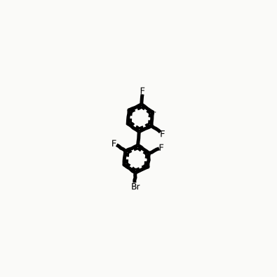 Fc1[c]c(F)c(-c2c(F)cc(Br)cc2F)cc1